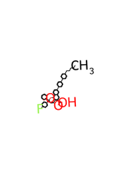 CCCCCc1ccc(-c2ccc(-c3ccc4c5c(c(C(=O)O)cc4c3)C=CC(c3ccccc3)(c3ccc(F)cc3)O5)cc2)cc1